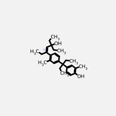 CC/C(=C/C(O)(CC)CC)c1ccc(C(CC)(CC)c2ccc(O)c(C)c2)cc1C